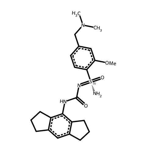 COc1cc(CN(C)C)ccc1[S@@](N)(=O)=NC(=O)Nc1c2c(cc3c1CCC3)CCC2